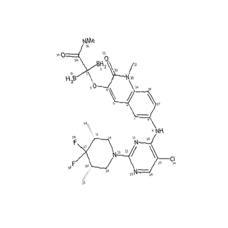 BC(B)(Oc1cc2cc(Nc3nc(N4C[C@@H](C)C(F)(F)[C@@H](C)C4)ncc3Cl)ccc2n(C)c1=O)C(=O)NC